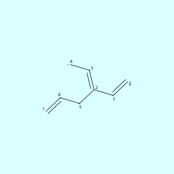 [CH]=CC(=C[CH2])CC=C